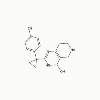 N#Cc1ccc(C2(C3=NC4=C(CNCC4)C(O)N3)CC2)cc1